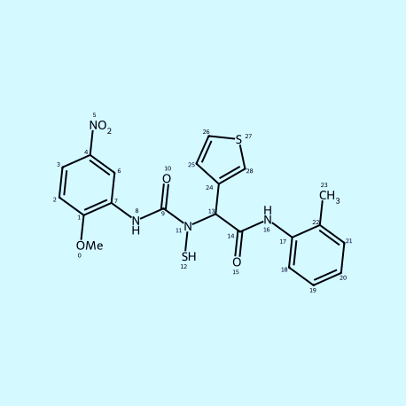 COc1ccc([N+](=O)[O-])cc1NC(=O)N(S)C(C(=O)Nc1ccccc1C)c1ccsc1